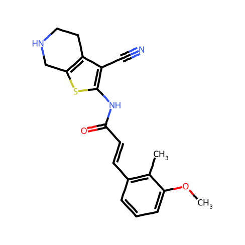 COc1cccc(C=CC(=O)Nc2sc3c(c2C#N)CCNC3)c1C